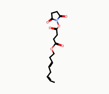 C/C=C\C/C=C/CCOC(=O)CCC(=O)ON1C(=O)CCC1=O